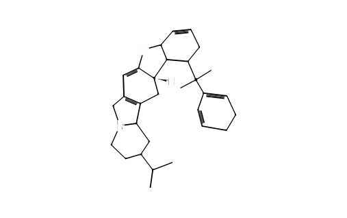 CC(C)C1CCN2CC3=C(C[C@@H]4C(=C3)OC3C=CCC(C(C)(C)C5=CCCC=C5)C34)C2C1